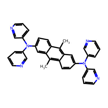 Cc1c2ccc(N(c3cccnc3)c3cccnc3)cc2c(C)c2ccc(N(c3cccnc3)c3cccnc3)cc12